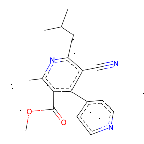 COC(=O)c1c(C)nc(CC(C)C)c(C#N)c1-c1ccncc1